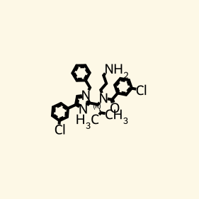 CC(C)[C@H](c1nc(-c2cccc(Cl)c2)cn1Cc1ccccc1)N(CCCN)C(=O)c1cccc(Cl)c1